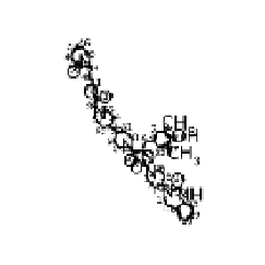 Cc1cc(C[C@@H](OC(=O)N2CCC(N3CCc4ccccc4NC3=O)CC2)C(=O)N2CCC(C3CCN(CC(=O)OCCCN4CCCCC4=O)CC3)CC2)cc(C)c1O